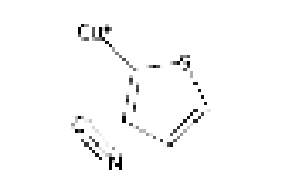 [C-]#N.[Cu+][c]1cccs1